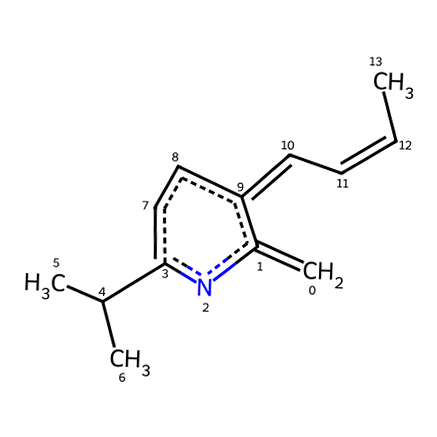 C=c1nc(C(C)C)cc/c1=C/C=C\C